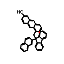 Oc1ccc2cc3c(CC4(c5ccc6ccccc6c5)c5ccccc5-c5ccccc54)cccc3cc2c1